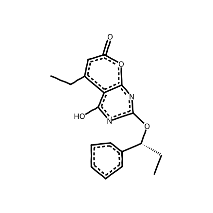 CCc1cc(=O)oc2nc(O[C@H](CC)c3ccccc3)nc(O)c12